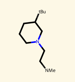 CNCCN1CCCC(C(C)(C)C)C1